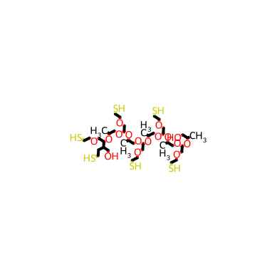 CC(CO)OC(COCCS)OCC(C)OC(COCCS)OCC(C)OC(COCCS)OCC(C)OC(COCCS)OCC(C)OC(COCCS)C(CO)CCS